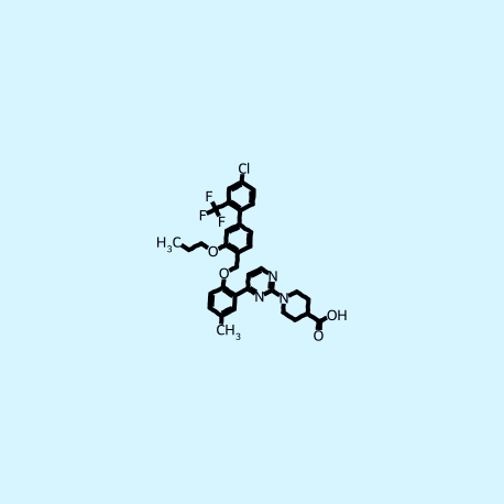 CCCOc1cc(-c2ccc(Cl)cc2C(F)(F)F)ccc1COc1ccc(C)cc1-c1ccnc(N2CCC(C(=O)O)CC2)n1